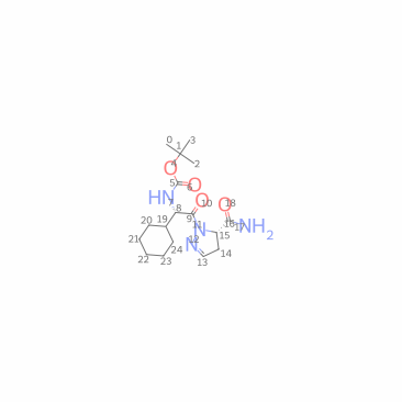 CC(C)(C)OC(=O)N[C@H](C(=O)N1N=CC[C@H]1C(N)=O)C1CCCCC1